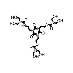 O=C(NCCn1c(=O)n(CCNC(=O)N(CO)CO)c(=O)n(CCOC(=O)N(CO)CO)c1=O)N(CO)CO